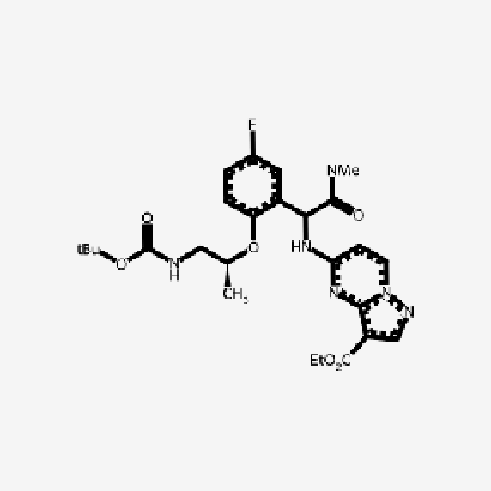 CCOC(=O)c1cnn2ccc(NC(C(=O)NC)c3cc(F)ccc3O[C@@H](C)CNC(=O)OC(C)(C)C)nc12